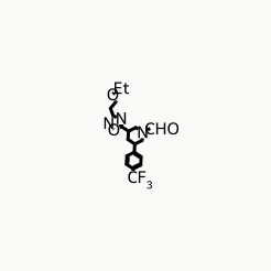 CCOCCc1noc(C2CC(c3ccc(C(F)(F)F)cc3)CN(C=O)C2)n1